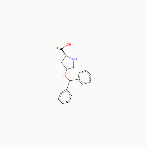 O=C(O)[C@@H]1CC(OC(c2ccccc2)c2ccccc2)CN1